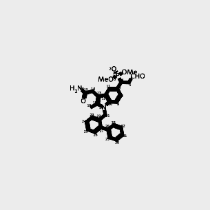 COP(=O)(OC)C(CC=O)c1ccc2c(c1)c(CC(N)=O)c(C)n2Cc1ccccc1-c1ccccc1